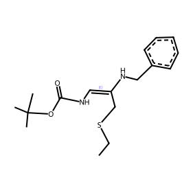 CCSC/C(=C\NC(=O)OC(C)(C)C)NCc1ccccc1